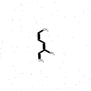 C=C/C(P)=C\C=C/C